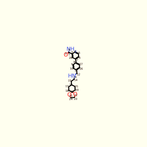 NC(=O)c1cccc(-c2ccc(CNCCC3CCC4(CC3)OCCO4)cc2)c1